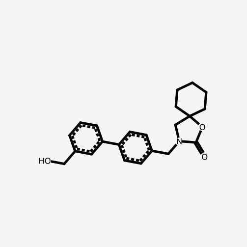 O=C1OC2(CCCCC2)CN1Cc1ccc(-c2cccc(CO)c2)cc1